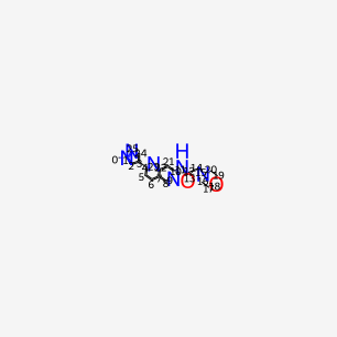 Cn1cc(-c2ccc3cnc(NC(=O)CN4CCOCC4)cc3n2)cn1